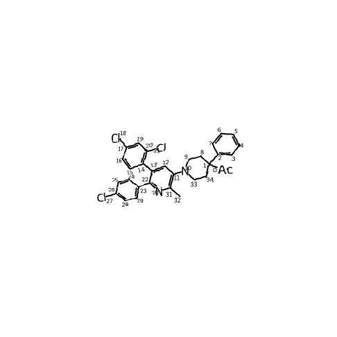 CC(=O)C1(c2ccccc2)CCN(c2cc(-c3ccc(Cl)cc3Cl)c(-c3ccc(Cl)cc3)nc2C)CC1